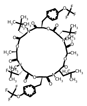 C[C@H]1OC(=O)C(CC(C)(C)C)N(C)C(=O)[C@@H](Cc2ccc(OC(F)(F)F)cc2)OC(=O)[C@H](CC(C)(C)F)N(C)C(=O)[C@@H](C)OC(=O)[C@H](CC(C)(C)C)N(C)C(=O)[C@@H](Cc2ccc(OC(F)(F)F)cc2)OC(=O)[C@H](CC(C)(C)F)N(C)C1=O